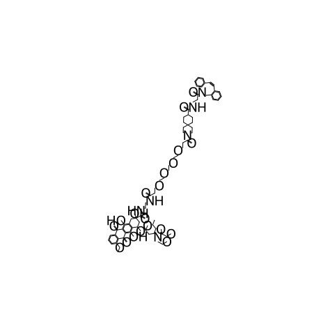 COc1cccc2c1C(=O)c1c(O)c3c(c(O)c1C2=O)CC(O)(C(=O)NCCNC(=O)CCOCCOCCOCCOCCC(=O)N1CCC2(CCC(C(=O)NCCC(=O)N4Cc5ccccc5C#Cc5ccccc54)CC2)CC1)CC3OC1CC2C(OC3C(OC)OCCN23)C(C)O1